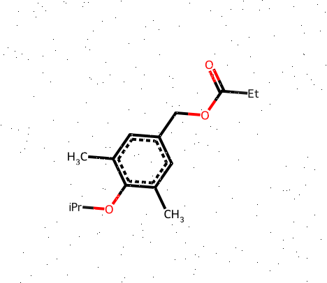 CCC(=O)OCc1cc(C)c(OC(C)C)c(C)c1